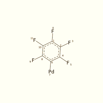 Fc1c(F)c(F)[c]([Pd])c(F)c1F